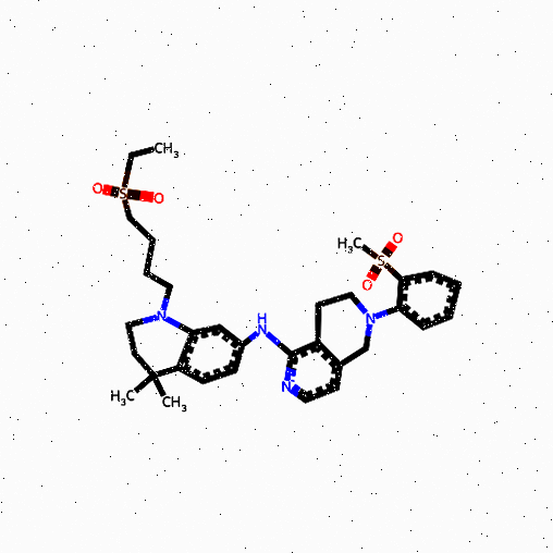 CCS(=O)(=O)CCCCN1CCC(C)(C)c2ccc(Nc3nccc4c3CCN(c3ccccc3S(C)(=O)=O)C4)cc21